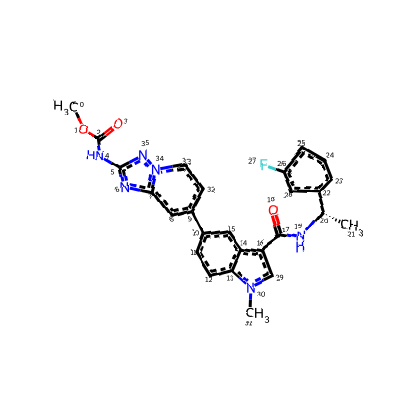 COC(=O)Nc1nc2cc(-c3ccc4c(c3)c(C(=O)N[C@@H](C)c3cccc(F)c3)cn4C)ccn2n1